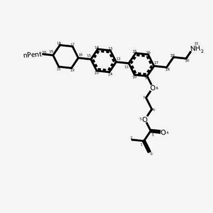 C=C(C)C(=O)OCCOc1cc(-c2ccc(C3CCC(CCCCC)CC3)cc2)ccc1CCCN